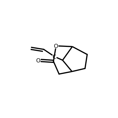 C=CCC1C2CCC1OC(=O)C2